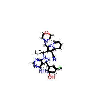 CC(c1c(C#N)c2ccccn2c1CN1CCOCC1)n1nc(-c2cc(O)cc(F)c2)c2c(N)ncnc21